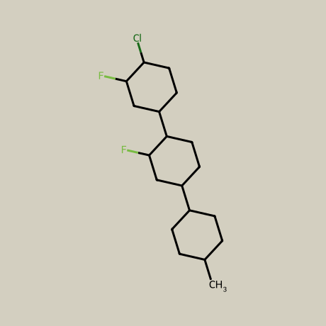 CC1CCC(C2CCC(C3CCC(Cl)C(F)C3)C(F)C2)CC1